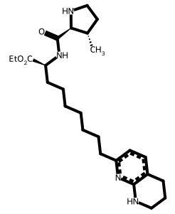 CCOC(=O)[C@H](CCCCCCCc1ccc2c(n1)NCCC2)NC(=O)[C@H]1NCC[C@@H]1C